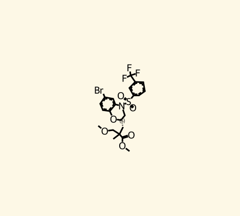 COCC(C)(C[C@H]1CN(S(=O)(=O)c2cccc(C(F)(F)F)c2)c2cc(Br)ccc2O1)C(=O)OC